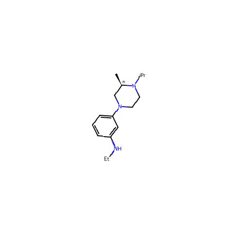 CCNc1cccc(N2CCN(C(C)C)[C@H](C)C2)c1